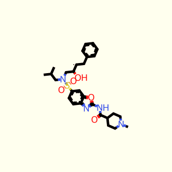 CC(C)CN(CC(O)[CH]Cc1ccccc1)S(=O)(=O)c1ccc2nc(NC(=O)C3CCN(C)CC3)oc2c1